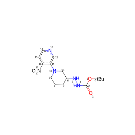 CC(C)(C)OC(=O)NNC1CCCN(c2cnccc2[N+](=O)[O-])C1